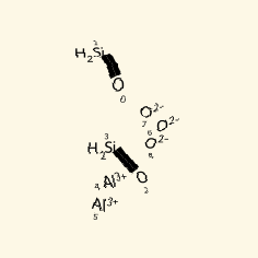 O=[SiH2].O=[SiH2].[Al+3].[Al+3].[O-2].[O-2].[O-2]